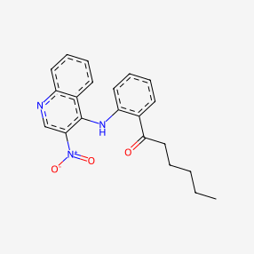 CCCCCC(=O)c1ccccc1Nc1c([N+](=O)[O-])cnc2ccccc12